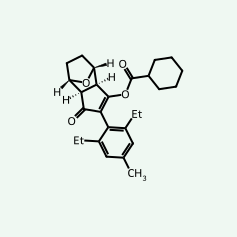 CCc1cc(C)cc(CC)c1C1=C(OC(=O)C2CCCCC2)[C@H]2[C@@H](C1=O)[C@@H]1CC[C@H]2O1